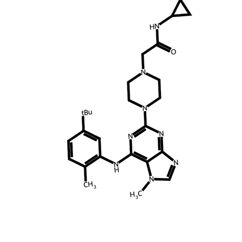 Cc1ccc(C(C)(C)C)cc1Nc1nc(N2CCN(CC(=O)NC3CC3)CC2)nc2ncn(C)c12